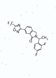 CC(c1ccc(F)cc1F)N1Cc2ccc(-c3noc(C(F)(F)F)n3)cc2C1=O